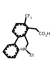 CCNCc1c(-c2ccccc2)ccc(C(F)(F)F)c1CC(=O)O